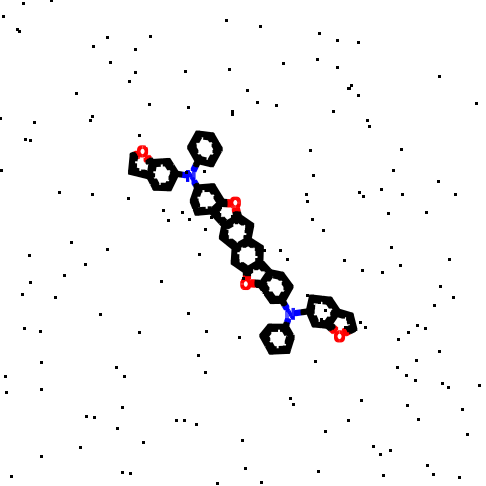 c1ccc(N(c2ccc3ccoc3c2)c2ccc3c(c2)oc2cc4cc5c(cc4cc23)oc2cc(N(c3ccccc3)c3ccc4ccoc4c3)ccc25)cc1